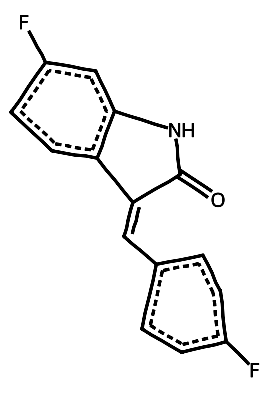 O=C1Nc2cc(F)ccc2C1=Cc1ccc(F)cc1